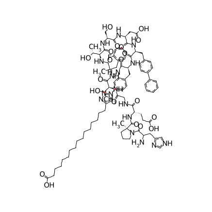 C[C@@H](O)[C@H](NC(=O)CNC(=O)[C@H](CCC(=O)O)NC(=O)[C@]1(C)CCCN1C(=O)C(N)Cc1c[nH]cn1)C(=O)NC(C)(Cc1ccccc1F)C(=O)N[C@H](C(=O)N[C@@H](CO)C(=O)N[C@@H](CC(=O)O)C(=O)N[C@@H](Cc1ccc(-c2ccccc2)cc1)C(=O)N[C@@H](Cc1ccc(-n2cc(CCCCCCCCCCCCCCCC(=O)O)nn2)cc1)C(N)=O)[C@@H](C)O